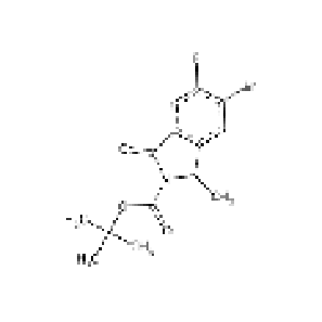 CC1c2cc(Br)c(F)cc2C(=O)N1C(=O)OC(C)(C)C